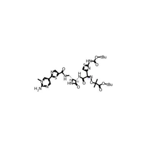 C[n+]1cc(-c2ncc(C(=O)NC[C@H]3NC(=O)[C@H]3NC(=O)/C(=N\OC(C)(C)C(=O)OC(C)(C)C)c3csc(NC(=O)OC(C)(C)C)n3)s2)cnc1N